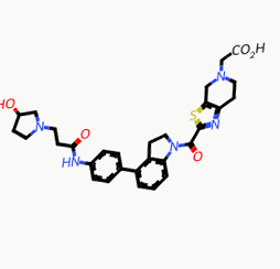 O=C(O)CN1CCc2nc(C(=O)N3CCc4c(-c5ccc(NC(=O)CCN6CCC(O)C6)cc5)cccc43)sc2C1